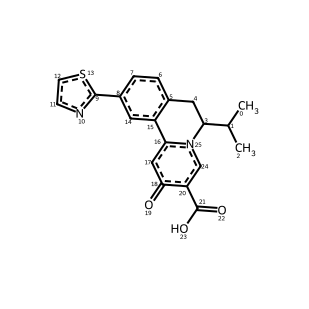 CC(C)C1Cc2ccc(-c3nccs3)cc2-c2cc(=O)c(C(=O)O)cn21